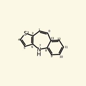 C1=Cc2sccc2Nc2ccccc21